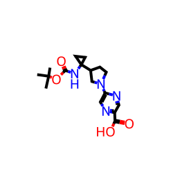 CC(C)(C)OC(=O)NC1(C2CCN(c3cnc(C(=O)O)cn3)C2)CC1